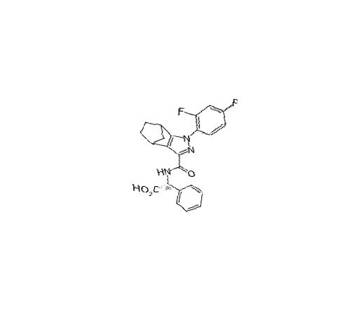 O=C(N[C@@H](C(=O)O)c1ccccc1)c1nn(-c2ccc(F)cc2F)c2c1C1CCC2C1